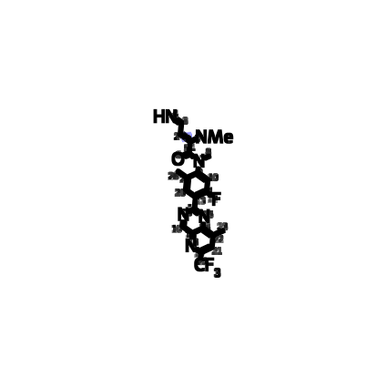 CN/C(=C\C=N)C(=O)N(C)c1cc(F)c(-c2ncc3nc(C(F)(F)F)cc(C)c3n2)cc1C